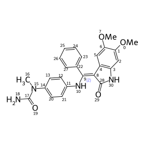 COc1cc2c(cc1OC)/C(=C(/Nc1ccc(N(C)C(N)=O)cc1)c1ccccc1)C(=O)N2